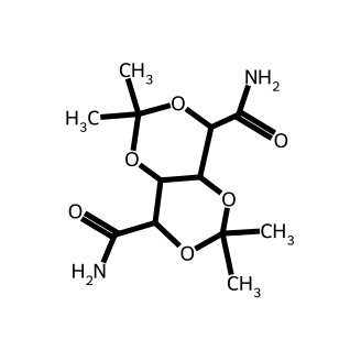 CC1(C)OC(C(N)=O)C2OC(C)(C)OC(C(N)=O)C2O1